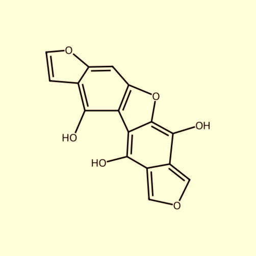 Oc1c2cocc2c(O)c2c1oc1cc3occc3c(O)c12